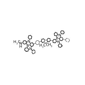 CNc1ccc2c(c1)B1c3ccccc3N(c3ccccc3)c3cc(C4CCC(c5ccc6c(c5)C(C)(C)c5cc(-c7ccc8c(c7)B7c9ccccc9N(c9ccccc9)c9cc(C%10CCCCC%10)cc(c97)N8c7ccccc7)ccc5-6)CC4)cc(c31)N2c1ccccc1